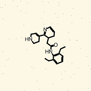 CCc1cccc(CC)c1NC(=O)CC1CC=CN=C1C1=CCNCC1